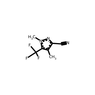 Cc1c(C#N)nn(C)c1C(F)(F)F